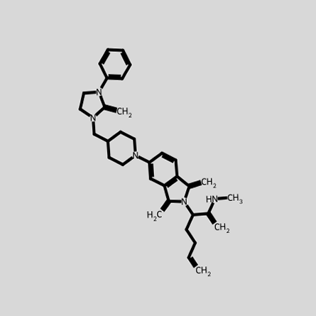 C=CCCC(C(=C)NC)n1c(=C)c2ccc(N3CCC(CN4CCN(c5ccccc5)C4=C)CC3)cc2c1=C